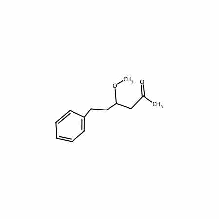 COC(CCc1ccccc1)CC(C)=O